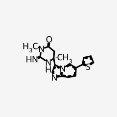 CN1C(=N)N[C@](C)(c2cnc3ccc(-c4cccs4)cn23)CC1=O